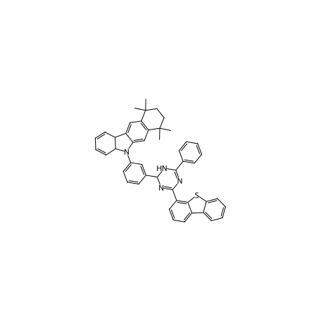 CC1(C)CCC(C)(C)c2cc3c(cc21)C1C=CC=CC1N3c1cccc(C2N=C(c3cccc4c3sc3ccccc34)N=C(c3ccccc3)N2)c1